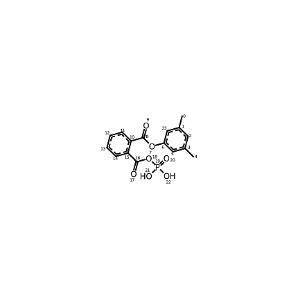 Cc1cc(C)cc(OC(=O)c2ccccc2C(=O)OP(=O)(O)O)c1